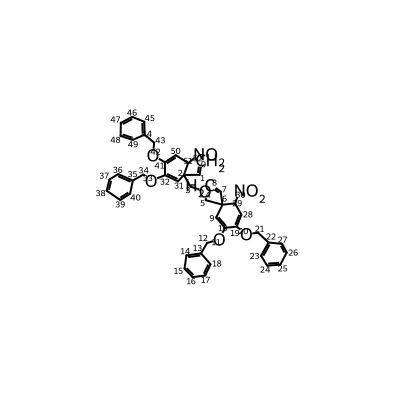 C=CC1(COCC2(C=C)C=C(OCc3ccccc3)C(OCc3ccccc3)=CC2[N+](=O)[O-])C=C(OCc2ccccc2)C(OCc2ccccc2)=CC1[N+](=O)[O-]